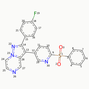 O=S(=O)(c1ccccc1)c1ccc(-c2c(-c3ccc(F)cc3)nn3ccncc23)cn1